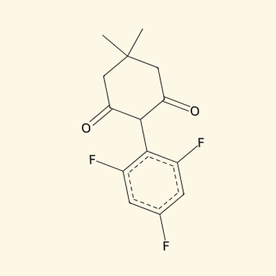 CC1(C)CC(=O)C(c2c(F)cc(F)cc2F)C(=O)C1